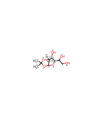 CC1(C)OC2O[C@H](C(O)CO)[C@H](O)[C@H]2O1